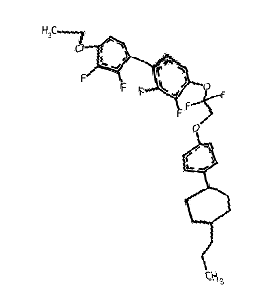 CCCC1CCC(c2ccc(OCC(F)(F)Oc3ccc(-c4ccc(OCC)c(F)c4F)c(F)c3F)cc2)CC1